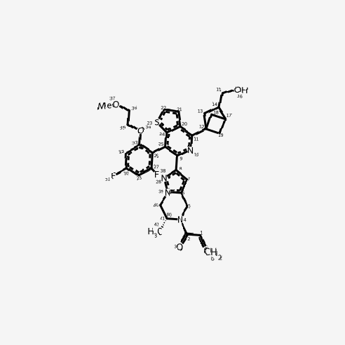 C=CC(=O)N1Cc2cc(-c3nc(C45CC(CO)C(C4)C5)c4ccsc4c3-c3c(F)cc(F)cc3OCCOC)nn2C[C@H]1C